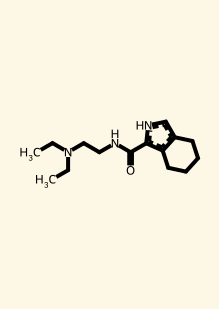 CCN(CC)CCNC(=O)c1[nH]cc2c1CCCC2